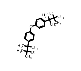 CCC(C)(C)C(C)(C)c1ccc(Oc2ccc(C(C)(C)C(C)(C)CC)cc2)cc1